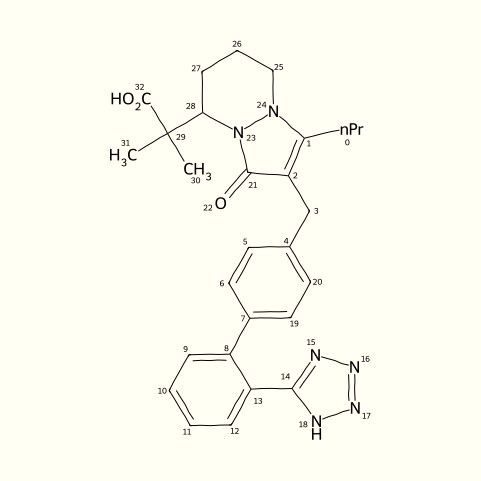 CCCc1c(Cc2ccc(-c3ccccc3-c3nnn[nH]3)cc2)c(=O)n2n1CCCC2C(C)(C)C(=O)O